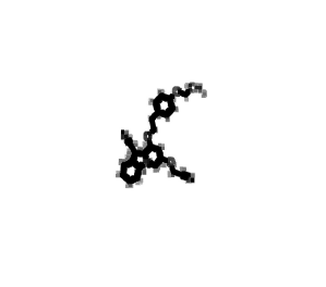 CCOc1ccc(CCOc2cc(OCC#N)cn3c2c(C#N)c2ccccc23)cc1